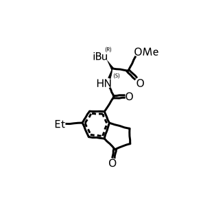 CCc1cc2c(c(C(=O)N[C@H](C(=O)OC)[C@H](C)CC)c1)CCC2=O